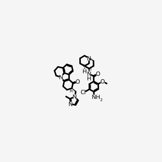 COc1cc(N)c(Cl)cc1C(=O)N[C@@H]1CC[N@]2CCC[C@H]1C2.Cc1nccn1C[C@H]1CCc2c(c3cccc4c3n2CCC4)C1=O